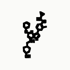 Cc1cc(-c2cnn3c(NCC4CCC(O)CC4)cc(Oc4ccccc4)nc23)ccc1C(=O)NC1CC1